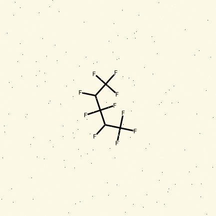 FC(C(F)(F)F)C(F)(F)C(F)C(F)(F)F